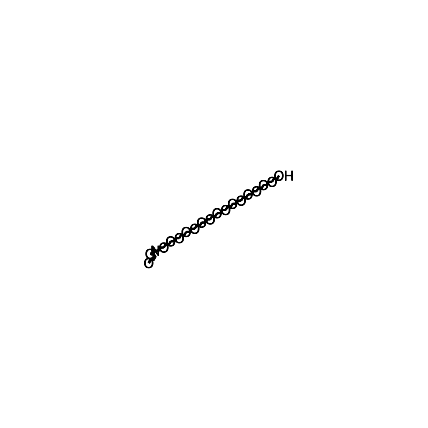 CN(CCOCCOCCOCCOCCOCCOCCOCCOCCOCCOCCOCCOCCOCCOCCOCCO)C(=O)/C=C\C=O